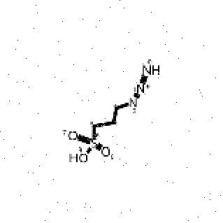 N=[N+]=NCCCS(=O)(=O)O